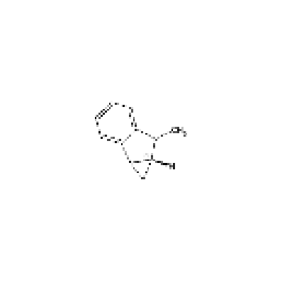 CN1c2ccccc2C2C[C@H]21